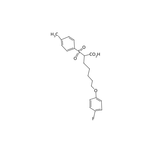 Cc1ccc(S(=O)(=O)C(CCCCCOc2ccc(F)cc2)C(=O)O)cc1